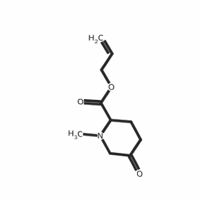 C=CCOC(=O)C1CCC(=O)CN1C